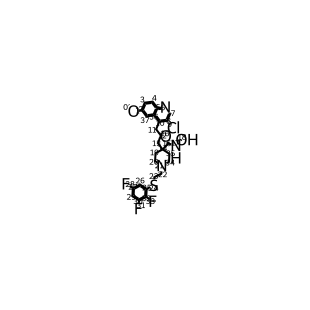 COc1ccc2ncc(Cl)c(CCCC3(C(=O)NO)CCN(CCSc4cc(F)cc(F)c4F)CC3)c2c1